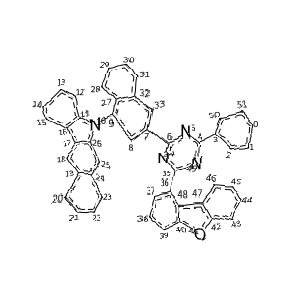 c1ccc(-c2nc(-c3cc(-n4c5ccccc5c5cc6ccccc6cc54)c4ccccc4c3)nc(-c3cccc4oc5ccccc5c34)n2)cc1